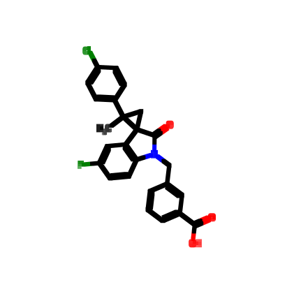 CC1(c2ccc(Cl)cc2)CC12C(=O)N(Cc1cccc(C(=O)O)c1)c1ccc(F)cc12